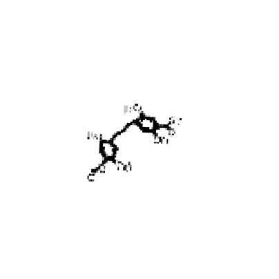 O=COc1cc(O)c(CCCc2cc(O)c(C(=O)O)cc2O)cc1O